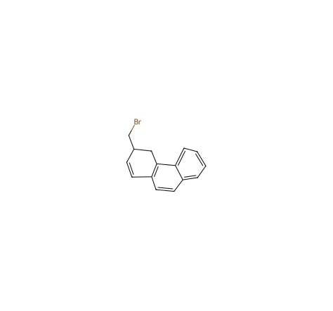 BrCC1C=Cc2ccc3ccccc3c2C1